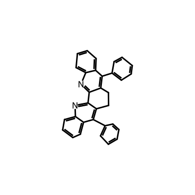 c1ccc(-c2c3c(nc4ccccc24)-c2nc4ccccc4c(-c4ccccc4)c2CC3)cc1